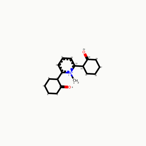 C[n+]1c(C2CCCCC2=O)cccc1C1CCCCC1=O